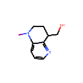 OCC1CCN(I)c2cccnc21